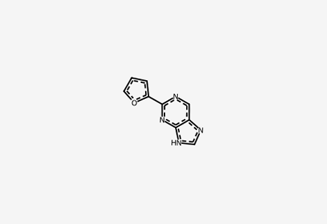 c1coc(-c2ncc3nc[nH]c3n2)c1